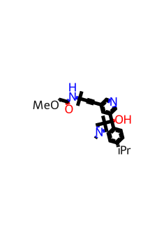 COCC(=O)NC(C)(C)C#Cc1cncc(C(O)(c2ccc(C(C)C)cc2)C2(C)CN(C)C2)c1